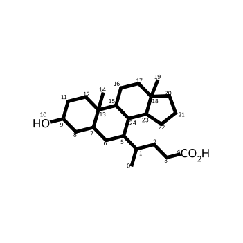 CC(CCC(=O)O)C1CC2CC(O)CCC2(C)C2CCC3(C)CCCC3C12